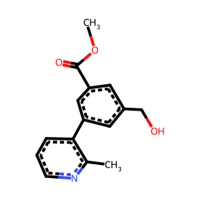 COC(=O)c1cc(CO)cc(-c2cccnc2C)c1